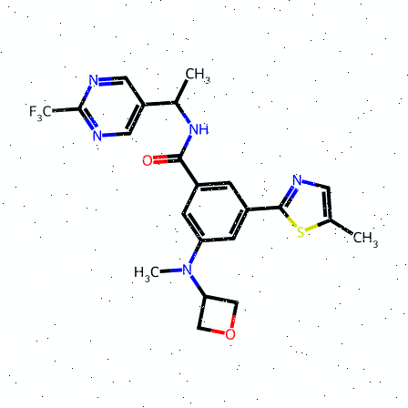 Cc1cnc(-c2cc(C(=O)NC(C)c3cnc(C(F)(F)F)nc3)cc(N(C)C3COC3)c2)s1